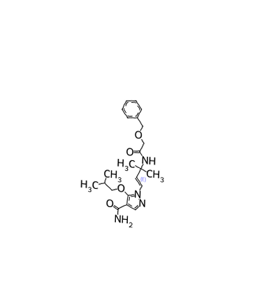 CC(C)COc1c(C(N)=O)cnn1/C=C/C(C)(C)NC(=O)COCc1ccccc1